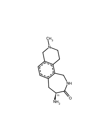 CN1CCc2c(ccc3c2CNC(=O)[C@@H](N)C3)C1